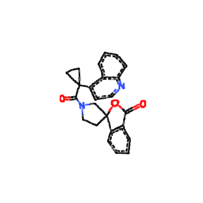 O=C1OC2(CCN(C(=O)C3(c4ccnc5ccccc45)CC3)C2)c2ccccc21